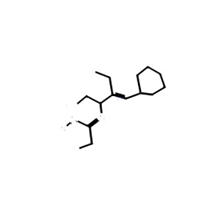 CC/C(=N/C(CP)/C(=C/C1CCCCC1)CC)NN